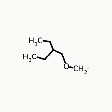 [CH2]OCC(CC)CC